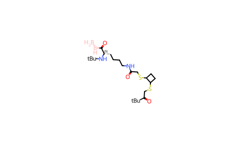 BBC(=O)[C@H](CCCCNC(=O)CSC1CCC1SCC(=O)C(C)(C)C)NC(C)(C)C